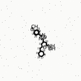 COc1ccc(-c2noc(C(CCCC3CCCCC3)CC(=O)NO)n2)cc1